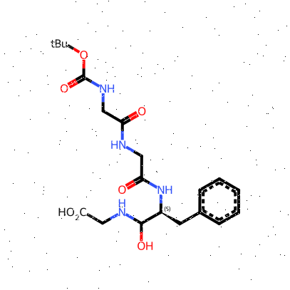 CC(C)(C)OC(=O)NCC(=O)NCC(=O)N[C@@H](Cc1ccccc1)C(O)NCC(=O)O